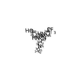 CC1(C)CC(N2CCC(c3cnc(Nc4cccc(C(F)(F)F)c4)nc3N[C@H]3CC[C@H](O)CC3)CC2)C1